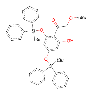 CCCCOCC(=O)c1c(O)cc(O[Si](c2ccccc2)(c2ccccc2)C(C)(C)C)cc1O[Si](c1ccccc1)(c1ccccc1)C(C)(C)C